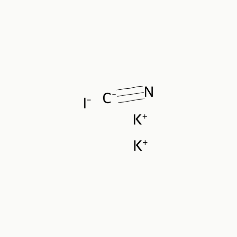 [C-]#N.[I-].[K+].[K+]